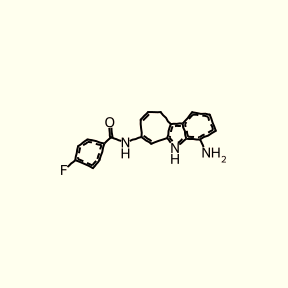 Nc1cccc2c3c([nH]c12)C=C(NC(=O)c1ccc(F)cc1)C=CC3